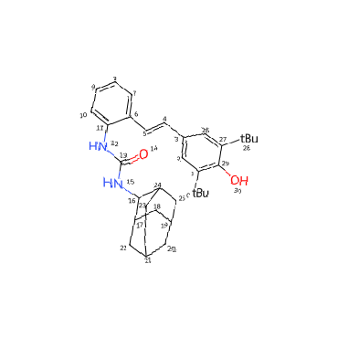 CC(C)(C)c1cc(C=Cc2ccccc2NC(=O)NC2C3CC4CC(C3)CC2C4)cc(C(C)(C)C)c1O